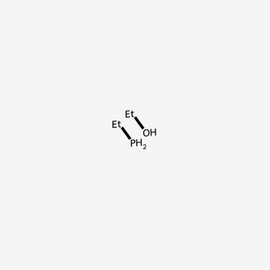 CCO.CCP